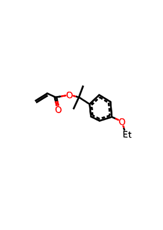 C=CC(=O)OC(C)(C)c1ccc(OCC)cc1